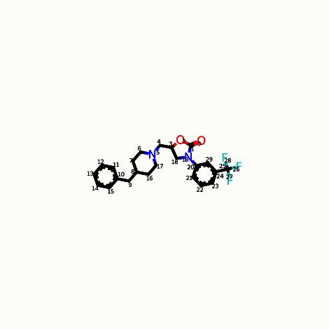 O=C1OC(CN2CCC(Cc3ccccc3)CC2)CN1c1cccc(C(F)(F)F)c1